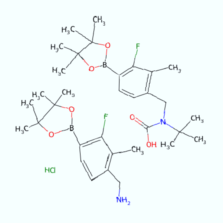 Cc1c(CN(C(=O)O)C(C)(C)C)ccc(B2OC(C)(C)C(C)(C)O2)c1F.Cc1c(CN)ccc(B2OC(C)(C)C(C)(C)O2)c1F.Cl